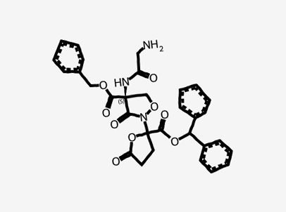 NCC(=O)N[C@@]1(C(=O)OCc2ccccc2)CON(C2(C(=O)OC(c3ccccc3)c3ccccc3)CCC(=O)O2)C1=O